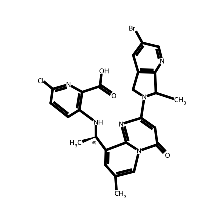 Cc1cc([C@@H](C)Nc2ccc(Cl)nc2C(=O)O)c2nc(N3Cc4cc(Br)cnc4C3C)cc(=O)n2c1